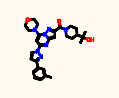 Cc1cccc(-c2ccn(-c3cc(N4CCOCC4)n4nc(C(=O)N5CCC(C(C)(C)O)CC5)cc4n3)n2)c1